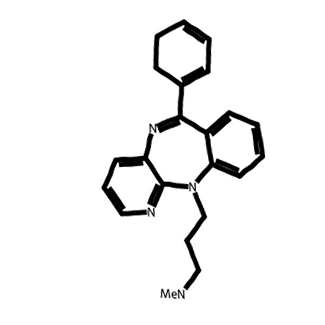 CNCCCN1c2ccccc2C(C2=CC=CCC2)=Nc2cccnc21